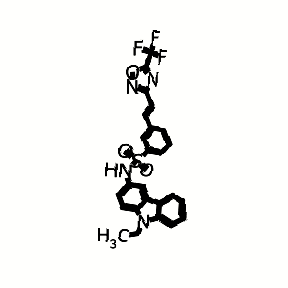 CCn1c2ccccc2c2cc(NS(=O)(=O)c3cccc(/C=C/c4noc(C(F)(F)F)n4)c3)ccc21